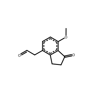 COc1ccc(CC=O)c2c1C(=O)CC2